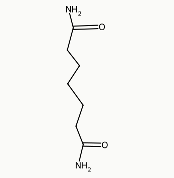 NC(=O)CCCCCC(N)=O